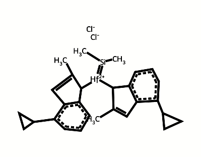 CC1=Cc2c(C3CC3)cccc2[CH]1[Hf+2]([CH]1C(C)=Cc2c(C3CC3)cccc21)=[Si](C)C.[Cl-].[Cl-]